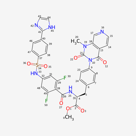 COC(=O)[C@H](Cc1ccc(-n2c(=O)c3ccncc3n(C)c2=O)cc1)NC(=O)c1c(F)cc(NS(=O)(=O)c2ccc(-c3ncc[nH]3)cc2)cc1F